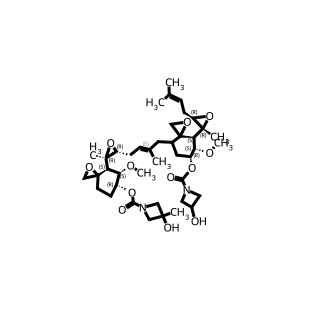 CO[C@@H]1[C@H](OC(=O)N2CC(C)(O)C2)CCC2(CO2)[C@H]1[C@@]1(C)O[C@@H]1C/C=C(\C)CC1C[C@@H](OC(=O)N2CC(O)C2)[C@@H](OC)[C@H]([C@@]2(C)O[C@@H]2CC=C(C)C)C12CO2